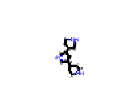 c1ncc(C2CCNCC2)cc1C1CCNCC1